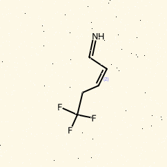 N=C/C=C\CC(F)(F)F